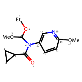 CCOC(OC)N(C(=O)C1CC1)c1ccc(OC)nc1